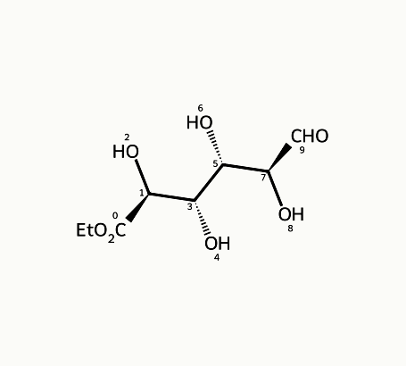 CCOC(=O)[C@@H](O)[C@@H](O)[C@H](O)[C@H](O)C=O